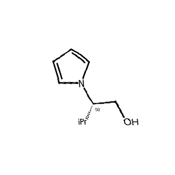 CC(C)[C@@H](CO)n1cccc1